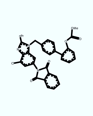 CCCc1nc2c(Cl)cc(N3C(=O)c4ccccc4C3=O)cc2n1Cc1ccc(-c2ccccc2OC(=O)OC)cc1